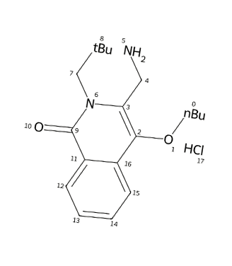 CCCCOc1c(CN)n(CC(C)(C)C)c(=O)c2ccccc12.Cl